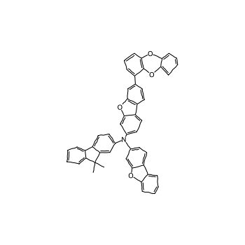 CC1(C)c2ccccc2-c2ccc(N(c3ccc4c(c3)oc3ccccc34)c3ccc4c(c3)oc3cc(-c5cccc6c5Oc5ccccc5O6)ccc34)cc21